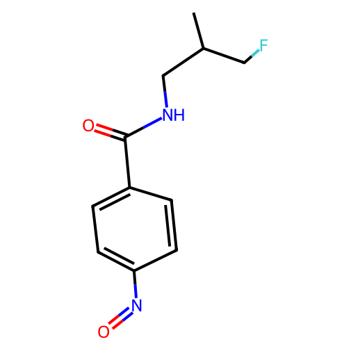 CC(CF)CNC(=O)c1ccc(N=O)cc1